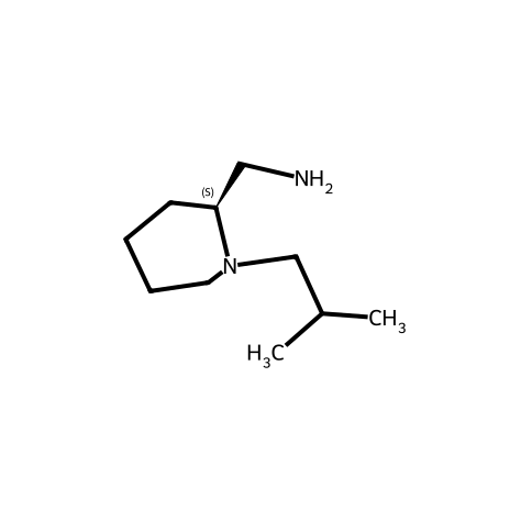 CC(C)CN1CCCC[C@H]1CN